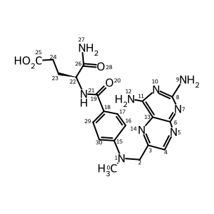 CN(Cc1cnc2nc(N)nc(N)c2n1)c1ccc(C(=O)N[C@@H](CCC(=O)O)C(N)=O)cc1